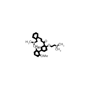 COc1cccc(OC)c1-c1ccc(OCCN(C)C)c(C(=O)C=Cc2ccccc2CN(C)C)c1